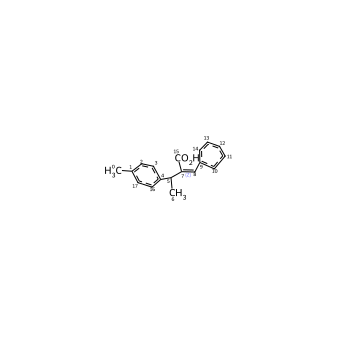 Cc1ccc(C(C)/C(=C/c2ccccc2)C(=O)O)cc1